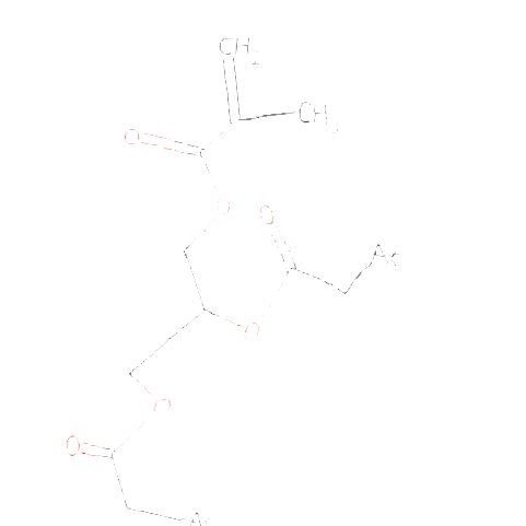 C=C(C)C(=O)OCC(COC(=O)CC(C)=O)OC(=O)CC(C)=O